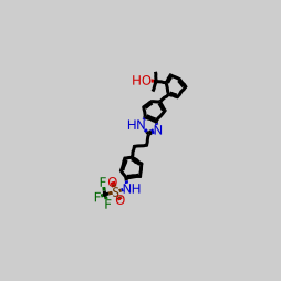 CC(C)(O)c1ccccc1-c1ccc2[nH]c(CCc3ccc(NS(=O)(=O)C(F)(F)F)cc3)nc2c1